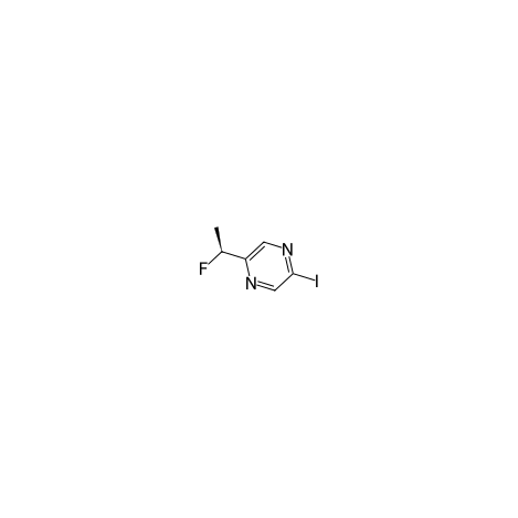 C[C@H](F)c1cnc(I)cn1